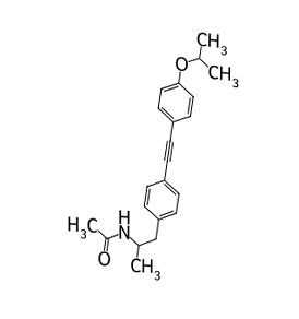 CC(=O)NC(C)Cc1ccc(C#Cc2ccc(OC(C)C)cc2)cc1